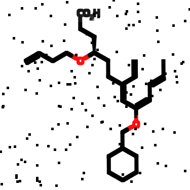 C=CCCO[C@@H](CCC(=O)O)CC/C(C=C)=C/C(=C\C=C\C)OCC1CCCCC1